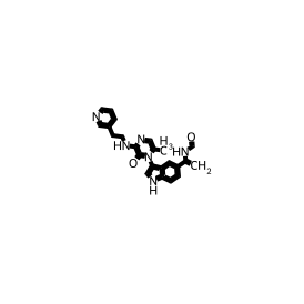 C=C(NC=O)c1ccc2[nH]cc(-n3c(C)cnc(NCCc4cccnc4)c3=O)c2c1